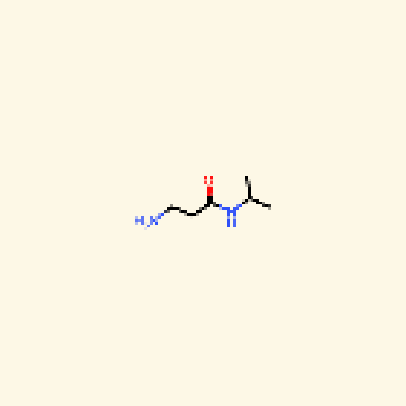 CC(C)NC(=O)CCN